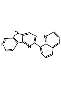 c1cnc2c(-c3ccc4oc5cnccc5c4n3)cccc2c1